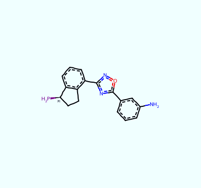 Nc1cccc(-c2nc(-c3cccc4c3CC[C@H]4P)no2)c1